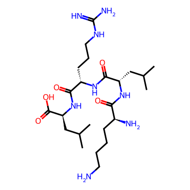 CC(C)C[C@H](NC(=O)[C@H](CCCNC(=N)N)NC(=O)[C@H](CC(C)C)NC(=O)[C@@H](N)CCCCN)C(=O)O